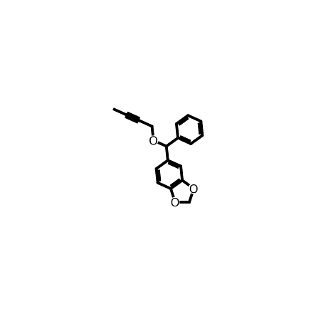 CC#CCOC(c1ccccc1)c1ccc2c(c1)OCO2